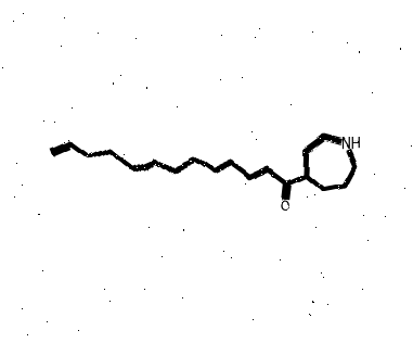 C=CCCCCCCCCCCC(=O)C1CCCNCC1